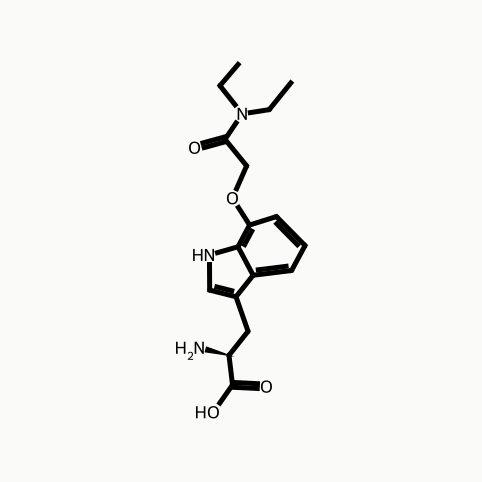 CCN(CC)C(=O)COc1cccc2c(C[C@H](N)C(=O)O)c[nH]c12